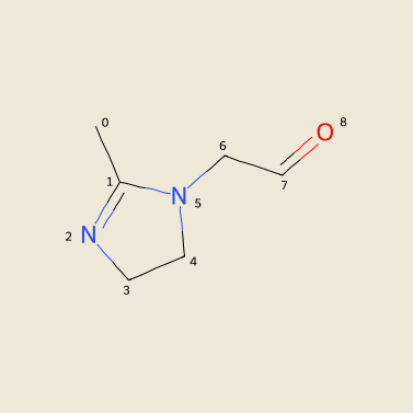 CC1=NCCN1CC=O